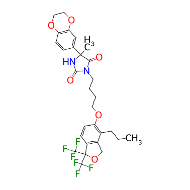 CCCc1c(OCCCCN2C(=O)NC(C)(c3ccc4c(c3)OCCO4)C2=O)ccc2c1COC2(C(F)(F)F)C(F)(F)F